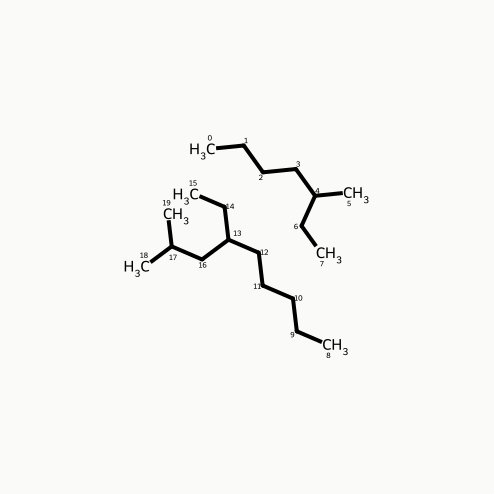 CCCCC(C)CC.CCCCCC(CC)CC(C)C